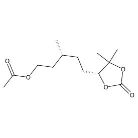 CC(=O)OCC[C@H](C)CC[C@H]1OC(=O)OC1(C)C